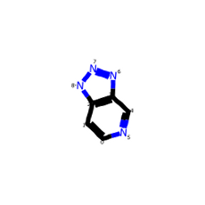 c1cc2c(cn1)N=N[N]2